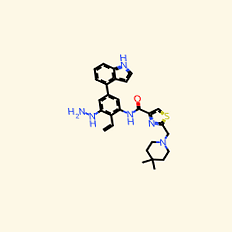 C=Cc1c(NN)cc(-c2cccc3[nH]ccc23)cc1NC(=O)c1csc(CN2CCC(C)(C)CC2)n1